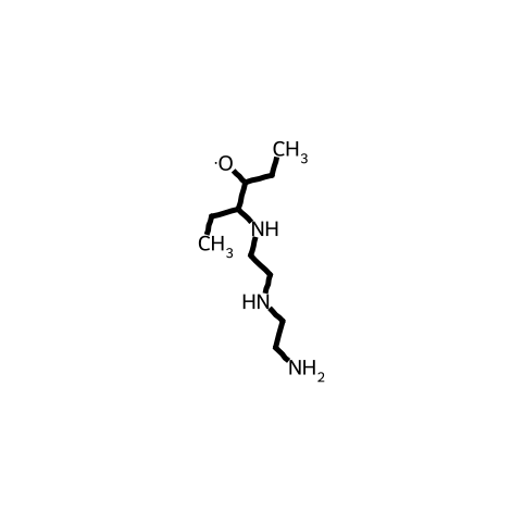 CCC([O])C(CC)NCCNCCN